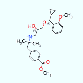 COC(=O)c1ccc(CC(C)(C)NC[C@@H](O)CO[C@@H](c2ccccc2OC)C2CC2)cc1